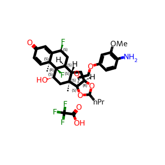 CCCC1O[C@@H]2C[C@H]3[C@@H]4C[C@H](F)C5=CC(=O)C=C[C@]5(C)[C@@]4(F)[C@@H](O)C[C@]3(C)[C@]2(C(=O)COc2ccc(N)c(OC)c2)O1.O=C(O)C(F)(F)F